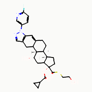 C[C@]12Cc3cnn(-c4ccc(F)nc4)c3C=C1CC[C@@H]1[C@@H]2[C@@H](O)C[C@@]2(C)[C@H]1CC[C@]2(OC(=O)C1CC1)C(=O)SCCO